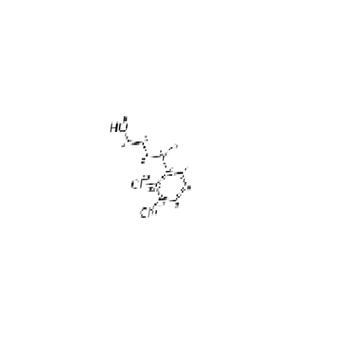 CC(CC=CO)c1cccc(Cl)c1Cl